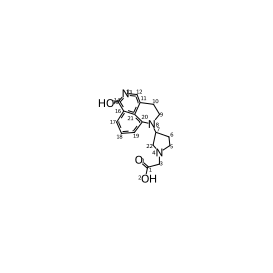 O=C(O)CN1CCC(N2CCc3cnc(O)c4cccc2c34)C1